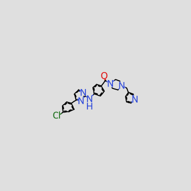 O=C(c1ccc(Nc2nccc(-c3ccc(Cl)cc3)n2)cc1)N1CCN(Cc2cccnc2)CC1